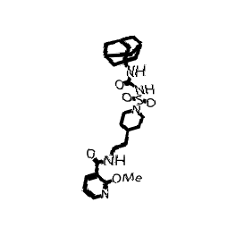 COc1ncccc1C(=O)NCCC1CCN(S(=O)(=O)NC(=O)NC23CC4CC(CC(C4)C2)C3)CC1